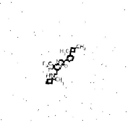 CC1(NCc2cn3c(=O)c(-c4cccc([C@]5(C)C[C@@H](C)C5)c4)cnc3c(C(F)(F)F)c2F)CCC1